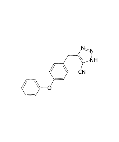 N#Cc1[nH]nnc1Cc1ccc(Oc2ccccc2)cc1